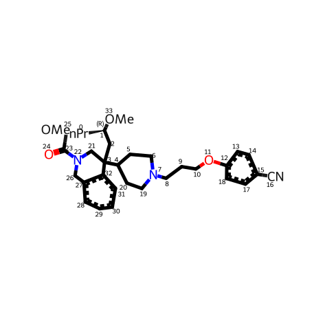 CCC[C@H](CC1(C2CCN(CCCOc3ccc(C#N)cc3)CC2)CN(C(=O)OC)Cc2ccccc21)OC